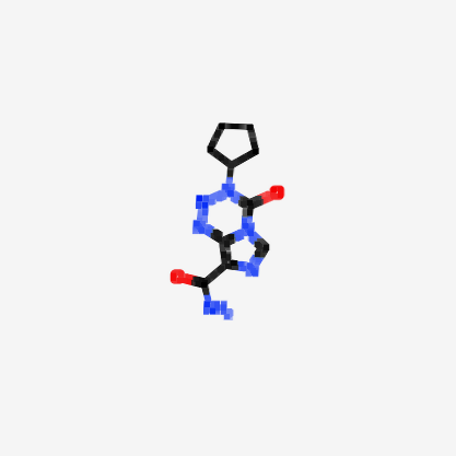 NC(=O)c1ncn2c(=O)n(C3CCCC3)nnc12